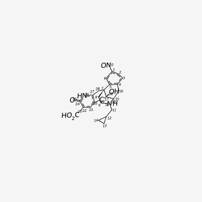 O=Nc1ccc2c(c1)[C@]13CCN(CC4CC4)[C@H](C2)[C@]1(O)Cc1cc(C(=O)O)c(=O)[nH]c1C3